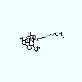 CCCCCCCCCCCC(=O)[NH][Hf+2]([CH]1c2ccccc2-c2ccccc21)[SiH](C)C.[Cl-].[Cl-]